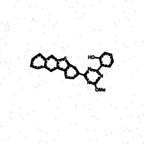 COc1nc(-c2ccc3c(c2)sc2cc4ccccc4cc23)nc(-c2ccccc2O)n1